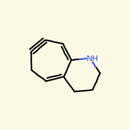 C1#CCC=C2CCCNC2=C1